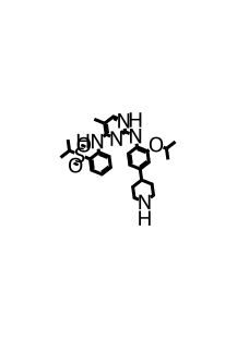 Cc1cnc(Nc2ccc(C3CCNCC3)cc2OC(C)C)nc1Nc1ccccc1S(=O)(=O)C(C)C